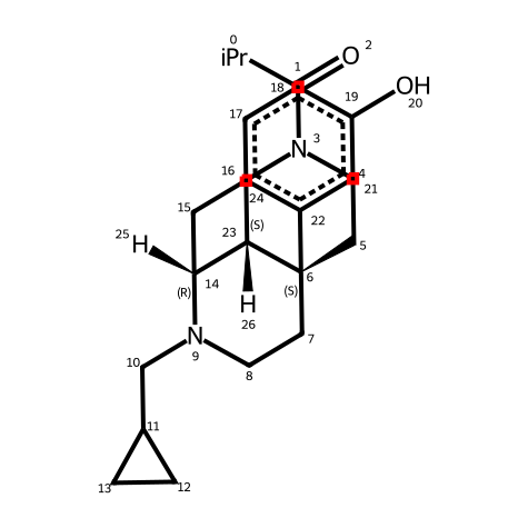 CC(C)C(=O)N1CC[C@]23CCN(CC4CC4)[C@H](Cc4ccc(O)cc42)[C@@H]3C1